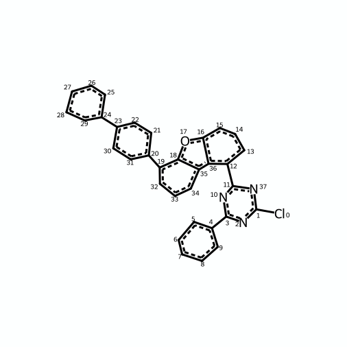 Clc1nc(-c2ccccc2)nc(-c2cccc3oc4c(-c5ccc(-c6ccccc6)cc5)cccc4c23)n1